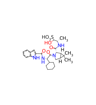 C[C@H](NC(=O)[C@@H]1[C@@H]2[C@H](CN1C(=O)[C@@H](NC(=O)c1cc3ccccc3[nH]1)C1CCCCC1)C2(C)C)C(O)S(=O)(=O)O